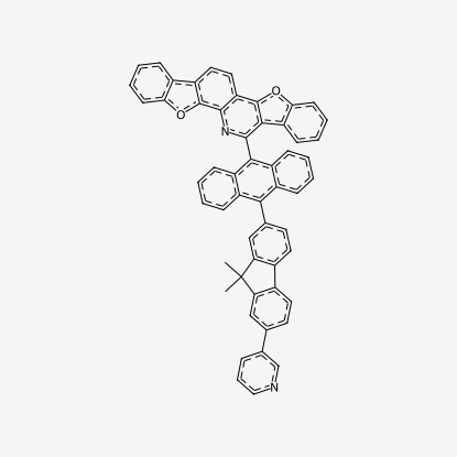 CC1(C)c2cc(-c3cccnc3)ccc2-c2ccc(-c3c4ccccc4c(-c4nc5c(ccc6c7ccccc7oc65)c5oc6ccccc6c45)c4ccccc34)cc21